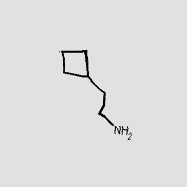 NCCC1C[CH]C1